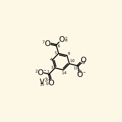 O=C([O-])c1cc(C(=O)[O-])cc(C(=O)[O-])c1.[V+3]